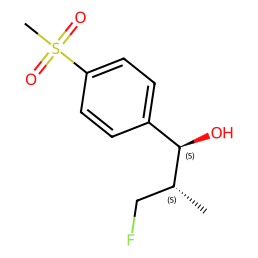 C[C@H](CF)[C@H](O)c1ccc(S(C)(=O)=O)cc1